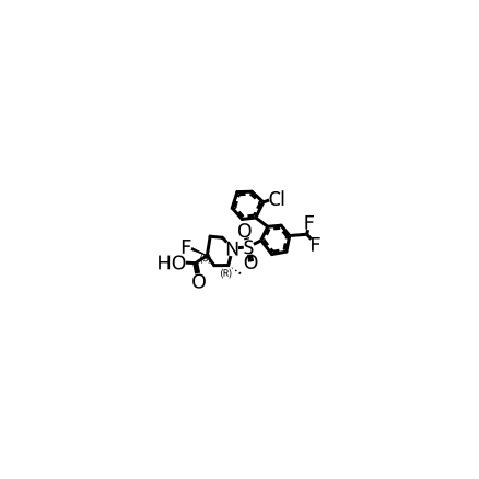 C[C@@H]1C[C@](F)(C(=O)O)CCN1S(=O)(=O)c1ccc(C(F)F)cc1-c1ccccc1Cl